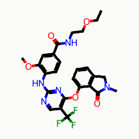 CCOCCNC(=O)c1ccc(Nc2ncc(C(F)(F)F)c(Oc3cccc4c3C(=O)N(C)C4)n2)c(OC)c1